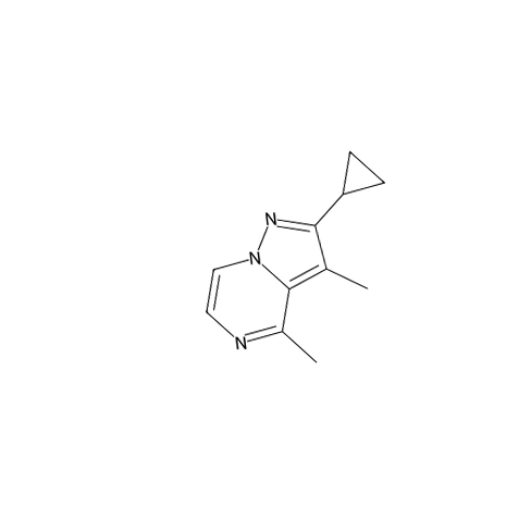 Cc1nccn2nc(C3CC3)c(C)c12